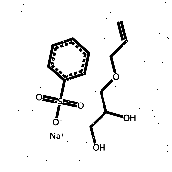 C=CCOCC(O)CO.O=S(=O)([O-])c1ccccc1.[Na+]